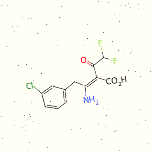 N/C(Cc1cccc(Cl)c1)=C(\C(=O)O)C(=O)C(F)F